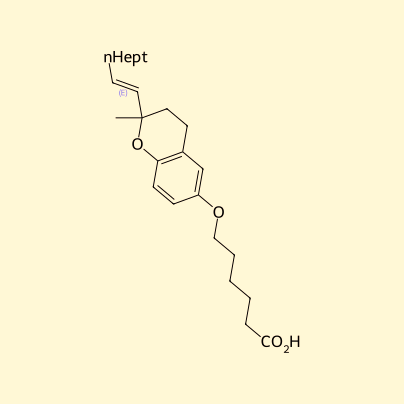 CCCCCCC/C=C/C1(C)CCc2cc(OCCCCCC(=O)O)ccc2O1